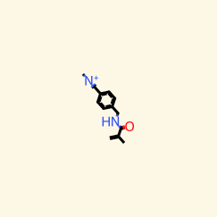 C=C(C)C(=O)NCc1ccc(C#[N+]C)cc1